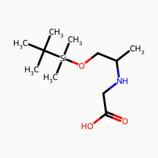 CC(CO[Si](C)(C)C(C)(C)C)NCC(=O)O